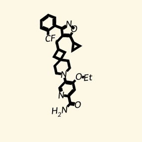 CCOc1cc(C(N)=O)ncc1N1CCC2(CC1)CC(Cc1c(-c3ccccc3C(F)(F)F)noc1C1CC1)C2